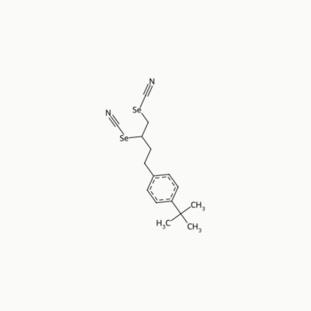 CC(C)(C)c1ccc(CCC(C[Se]C#N)[Se]C#N)cc1